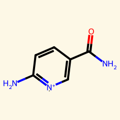 NC(=O)C1=C[N+]=C(N)C=C1